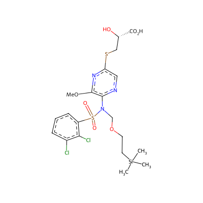 COc1nc(SC[C@H](O)C(=O)O)cnc1N(COCC[Si](C)(C)C)S(=O)(=O)c1cccc(Cl)c1Cl